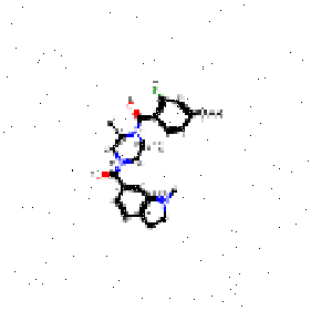 COc1ccc(C(=O)N2[C@H](C)CN(C(=O)c3ccc4c(c3)N(C)CC4)C[C@H]2C)c(F)c1